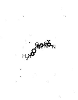 CC(C)c1cc(C#N)cc2nc(-c3ccc(C(=O)NCC4CCc5ccc(N)cc5CC4)cc3)oc12